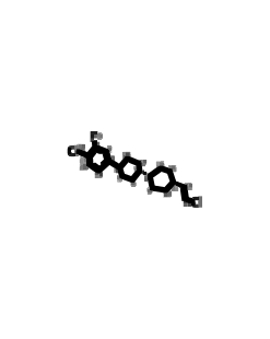 Fc1cc(C2CCC([C@H]3CC[C@H](/C=C/Cl)CC3)CC2)ccc1Cl